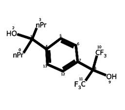 CCCC(O)(CCC)c1ccc(C(O)(C(F)(F)F)C(F)(F)F)cc1